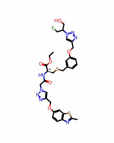 CCOC(=O)[C@@H](CSCc1cccc(OCc2cn(C(CO)CF)nn2)c1)NC(=O)Cn1cc(COc2ccc3nc(C)sc3c2)nn1